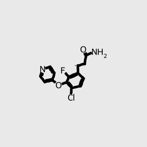 NC(=O)C[CH]c1ccc(Cl)c(Oc2ccncc2)c1F